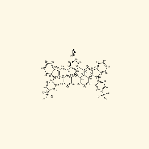 CC(C)(C)c1ccc(-n2c3ccccc3c3cc4c5c(cccc5c32)B2c3c-4cc(C#N)cc3-c3cc4c5ccccc5n(-c5ccc(C(C)(C)C)cc5)c4c4cccc2c34)cc1